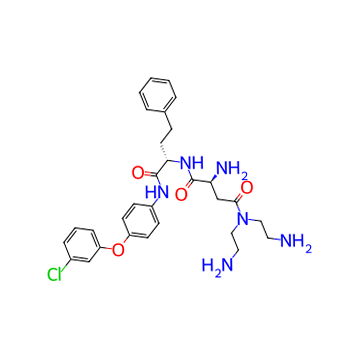 NCCN(CCN)C(=O)C[C@H](N)C(=O)N[C@@H](CCc1ccccc1)C(=O)Nc1ccc(Oc2cccc(Cl)c2)cc1